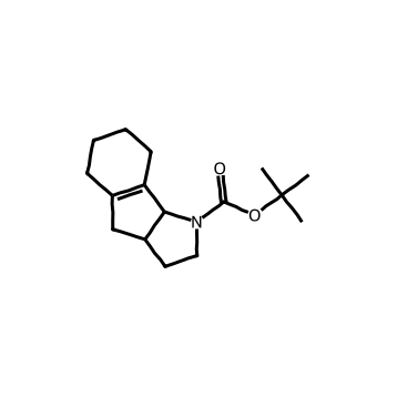 CC(C)(C)OC(=O)N1CCC2CC3=C(CCCC3)C21